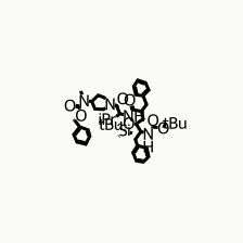 CC(C)C(NC(=O)C(Cc1ccccc1)CC(O[Si](C)(C)C(C)(C)C)C(Cc1ccccc1)NC(=O)OC(C)(C)C)C(=O)N1CCC(N(C)C(=O)OCc2ccccc2)CC1